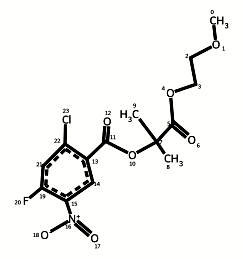 COCCOC(=O)C(C)(C)OC(=O)c1cc([N+](=O)[O-])c(F)cc1Cl